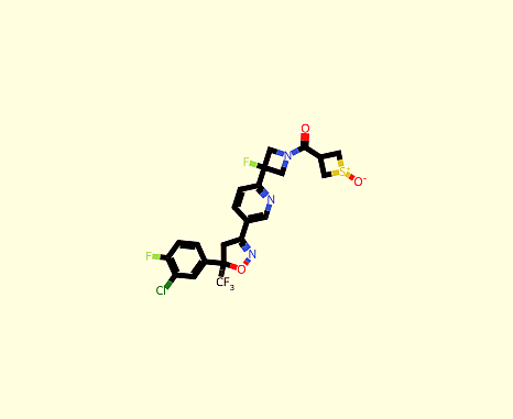 O=C(C1C[S+]([O-])C1)N1CC(F)(c2ccc(C3=NOC(c4ccc(F)c(Cl)c4)(C(F)(F)F)C3)cn2)C1